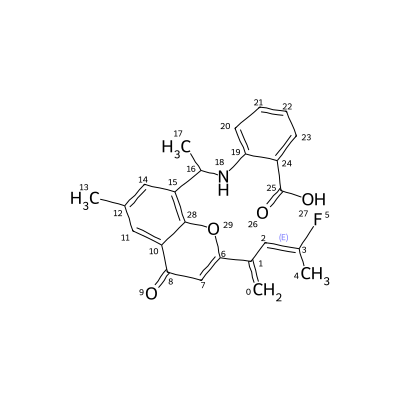 C=C(/C=C(\C)F)c1cc(=O)c2cc(C)cc(C(C)Nc3ccccc3C(=O)O)c2o1